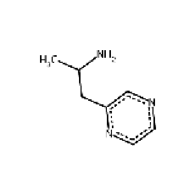 CC(N)Cc1cnccn1